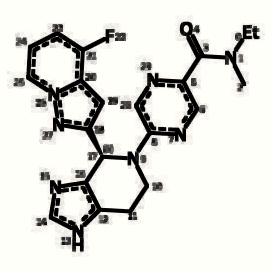 CCN(C)C(=O)c1cnc(N2CCc3[nH]cnc3[C@H]2c2cc3c(F)cccn3n2)cn1